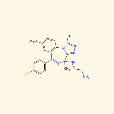 COc1ccc2c(c1)C(c1ccc(Cl)cc1)=NC(C)(NCCN)c1nnc(C)n1-2